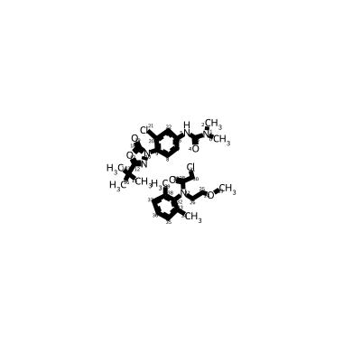 CN(C)C(=O)Nc1ccc(-n2nc(C(C)(C)C)oc2=O)c(Cl)c1.COCCN(C(=O)CCl)c1c(C)cccc1C